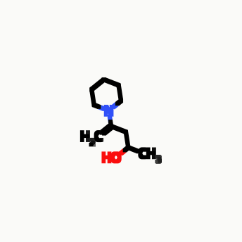 C=C(CC(C)O)N1CCCCC1